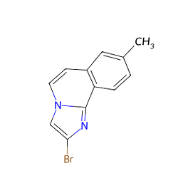 Cc1ccc2c(ccn3cc(Br)nc23)c1